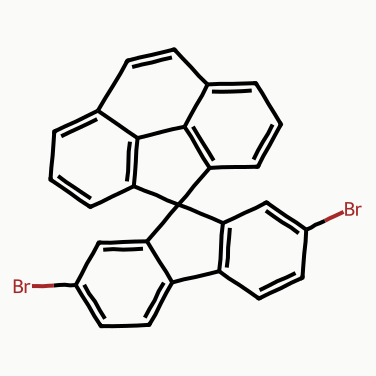 Brc1ccc2c(c1)C1(c3cc(Br)ccc3-2)c2cccc3ccc4cccc1c4c23